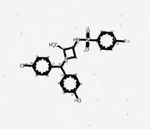 C[C@H]1C(NS(=O)(=O)c2ccc(F)cc2)CN1C(c1ccc(Cl)cc1)c1ccc(Cl)cc1